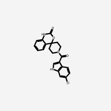 O=C1Nc2ccccc2C2(CCN(C(=O)c3c[nH]c4cc(Cl)ccc34)CC2)O1